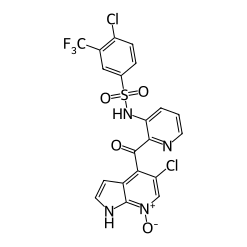 O=C(c1ncccc1NS(=O)(=O)c1ccc(Cl)c(C(F)(F)F)c1)c1c(Cl)c[n+]([O-])c2[nH]ccc12